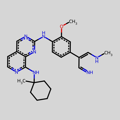 CN/C=C(\C=N)c1ccc(Nc2ncc3ccnc(NC4(C)CCCCC4)c3n2)c(OC)c1